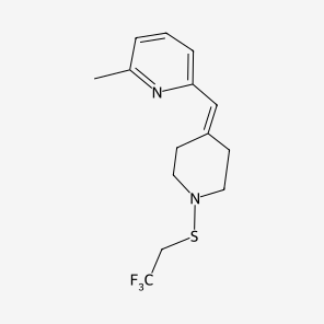 Cc1cccc(C=C2CCN(SCC(F)(F)F)CC2)n1